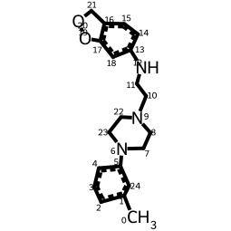 Cc1cccc(N2CCN(CCNc3ccc4c(c3)OOC4)CC2)c1